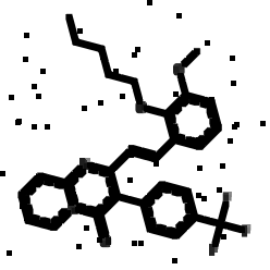 CCCCCOc1c(/C=C/c2nc3ccccn3c(=O)c2-c2ccc(C(F)(F)F)cc2)cccc1OC